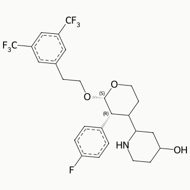 OC1CCNC(C2CCO[C@@H](OCCc3cc(C(F)(F)F)cc(C(F)(F)F)c3)[C@H]2c2ccc(F)cc2)C1